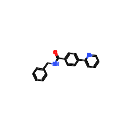 O=C(NCc1ccccc1)c1ccc(-c2ccccn2)cc1